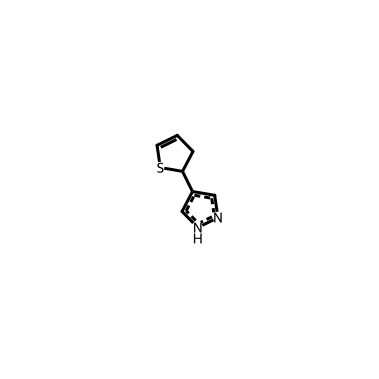 C1=CSC(c2cn[nH]c2)C1